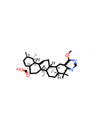 COc1ncnc2c1C[C@]1(C)[C@H]3CC=C4[C@@H]5[C@@H](C)[C@H](C)CC[C@]5(C(=O)O)CC[C@@]4(C)[C@]3(C)CC[C@H]1C2(C)C